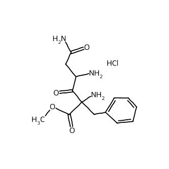 COC(=O)C(N)(Cc1ccccc1)C(=O)C(N)CC(N)=O.Cl